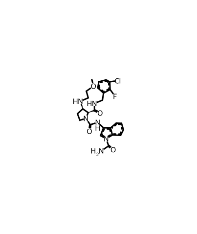 COCCN[C@@H]1CCN(C(=O)Nc2cn(C(N)=O)c3ccccc23)[C@@H]1C(=O)NCc1cccc(Cl)c1F